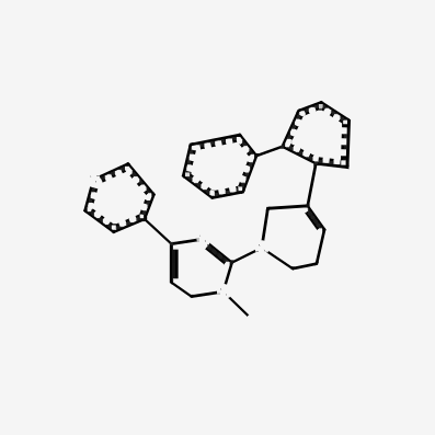 CN1CC=C(c2ccncc2)N=C1N1CCC=C(c2ccccc2-c2ccccc2)C1